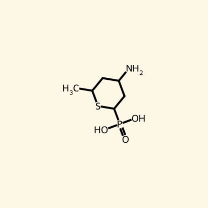 CC1CC(N)CC(P(=O)(O)O)S1